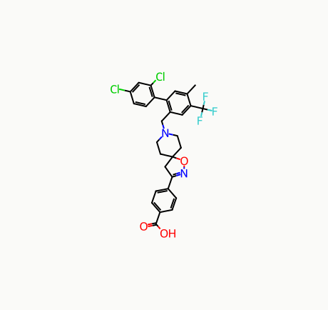 Cc1cc(-c2ccc(Cl)cc2Cl)c(CN2CCC3(CC2)CC(c2ccc(C(=O)O)cc2)=NO3)cc1C(F)(F)F